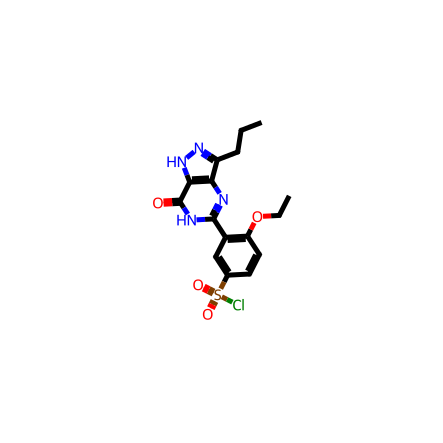 CCCc1n[nH]c2c(=O)[nH]c(-c3cc(S(=O)(=O)Cl)ccc3OCC)nc12